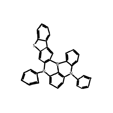 c1ccc(N2c3ccccc3B3c4cc5c(cc4N(c4ccccc4)c4cccc2c43)sc2ccccc25)cc1